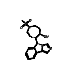 CS(=O)(=O)N1CC[C@@H]([C@H]2c3ccccc3-c3cncn32)[C@H](O)CC1